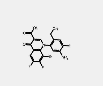 Nc1cc(-n2cc(C(=O)O)c(=O)c3cc(F)c(F)c(Br)c32)c(CO)cc1F